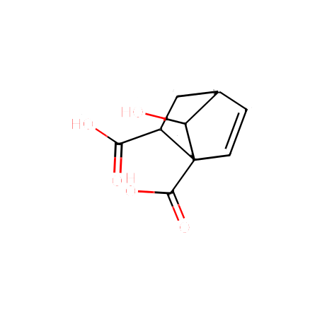 O=C(O)C1CC2C=CC1(C(=O)O)C2O